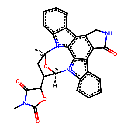 CN1C(=O)OC(C2C[C@]3(C)O[C@H]2n2c4ccccc4c4c5c(c6c7ccccc7n3c6c42)CNC5=O)C1=O